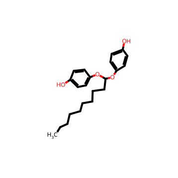 CCCCCCCCCC(Oc1ccc(O)cc1)Oc1ccc(O)cc1